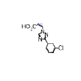 O=C(O)/C=C\n1cnc(C2C=CC=C(Cl)C2)n1